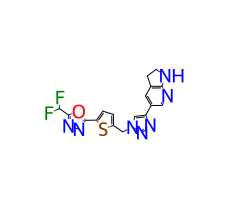 FC(F)c1nnc(-c2ccc(Cn3cc(-c4cnc5c(c4)CCN5)nn3)s2)o1